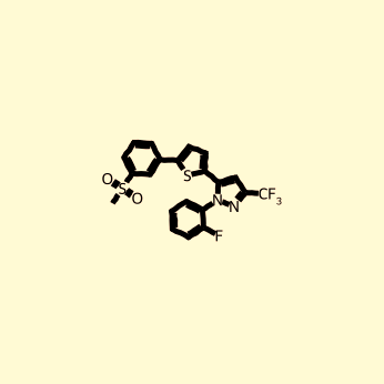 CS(=O)(=O)c1cccc(-c2ccc(-c3cc(C(F)(F)F)nn3-c3ccccc3F)s2)c1